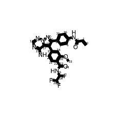 C=CC(=O)Nc1ccc(-c2nn3ncnc(N)c3c2-c2ccc(C(=O)NC(F)C(F)F)c(OC)c2)cc1